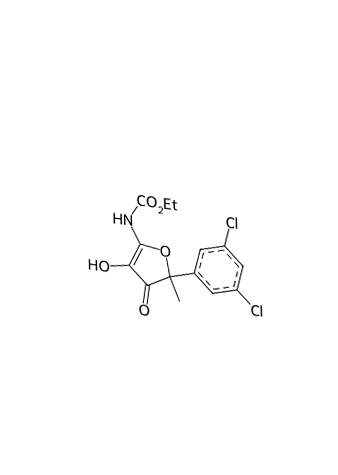 CCOC(=O)NC1=C(O)C(=O)C(C)(c2cc(Cl)cc(Cl)c2)O1